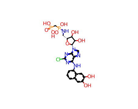 O=P(O)(O)CP(=O)(O)NC[C@H]1O[C@@H](n2cnc3c(Nc4cccc5cc(O)c(O)cc45)nc(Cl)nc32)C(O)C1O